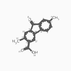 Cc1ccc2c(c1)C(=O)c1cc(C)c(C(=O)O)cc1-2